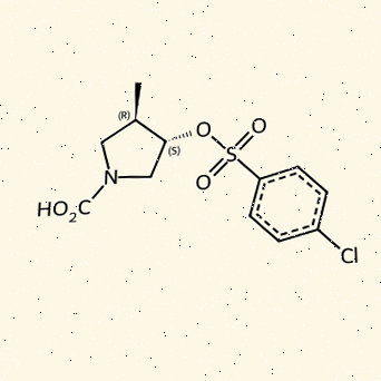 C[C@@H]1CN(C(=O)O)C[C@H]1OS(=O)(=O)c1ccc(Cl)cc1